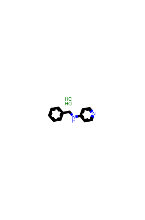 Cl.Cl.c1ccc(CNc2ccncc2)cc1